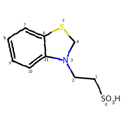 O=S(=O)(O)CCN1[CH]Sc2ccccc21